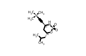 CC(C)C[C@@H]1C[C@@H](C#C[Si](C)(C)C)NS(=O)(=O)O1